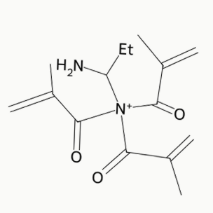 C=C(C)C(=O)[N+](C(=O)C(=C)C)(C(=O)C(=C)C)C(N)CC